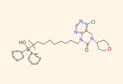 CC(C)(CCCCCCCCN1C(=O)N(C2CCOCC2)Cc2c(Cl)ncnc21)[Si](O)(c1ccccc1)c1ccccc1